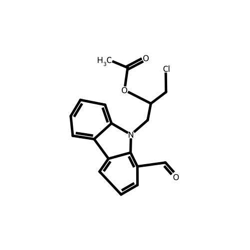 CC(=O)OC(CCl)Cn1c2ccccc2c2cccc(C=O)c21